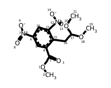 COC(=O)c1cc([N+](=O)[O-])cc([N+](=O)[O-])c1CC(OC)OC